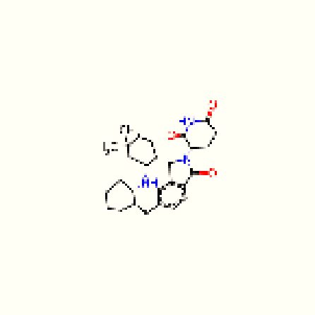 CC1(C)CCC[C@@H](N[C@H]2CCCC[C@@H]2Cc2ccc3c(c2)CN(C2CCC(=O)NC2=O)C3=O)C1